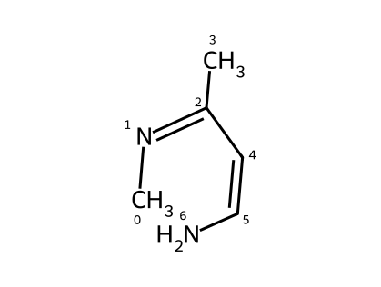 C/N=C(C)\C=C/N